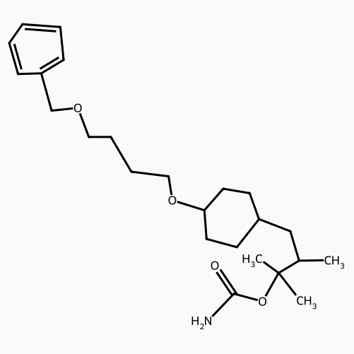 CC(CC1CCC(OCCCCOCc2ccccc2)CC1)C(C)(C)OC(N)=O